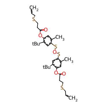 C=CCSCCC(=O)Oc1cc(C)c(SOSc2cc(C(C)(C)C)c(OC(=O)CCSCC=C)cc2C)cc1C(C)(C)C